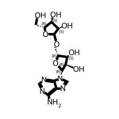 Nc1ncnc2c1ncn2[C@@H]1O[C@H](COC2O[C@H](CO)[C@@H](O)[C@@H]2O)[C@@H](O)[C@H]1O